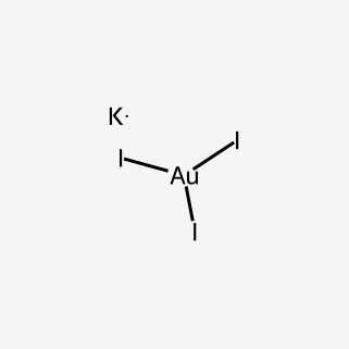 [I][Au]([I])[I].[K]